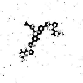 COC(=O)N[C@H](C(=O)N1CCC[C@H]1c1ncc(-c2cc(F)c3c(c2)OC(c2cc(C4CC4)no2)n2c-3cc3cc(-c4cnc([C@@H]5CCCN5C(=O)[C@@H](NC(=O)OC)C(C)C)[nH]4)ccc32)[nH]1)C(C)C